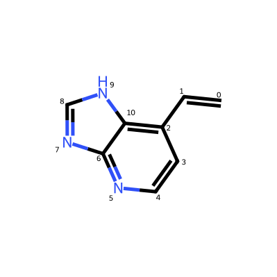 C=Cc1ccnc2nc[nH]c12